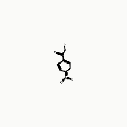 O=C(CBr)C1=CCC(=S(=O)=O)C=C1